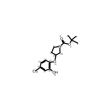 CC(C)(C)OC(=O)N1CCC(Oc2ccc(Cl)cc2O)C1